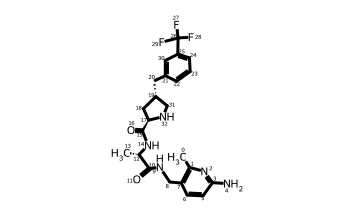 Cc1nc(N)ccc1CNC(=O)[C@H](C)NC(=O)[C@H]1C[C@H](Cc2cccc(C(F)(F)F)c2)CN1